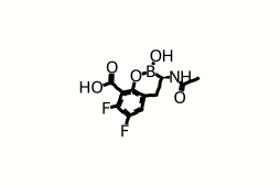 CC(=O)N[C@H]1Cc2cc(F)c(F)c(C(=O)O)c2OB1O